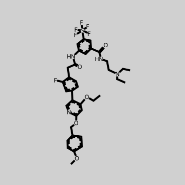 CCOc1cc(OCc2ccc(OC)cc2)ncc1-c1ccc(CC(=O)Nc2cc(C(=O)NCCN(CC)CC)cc(S(F)(F)(F)(F)F)c2)c(F)c1